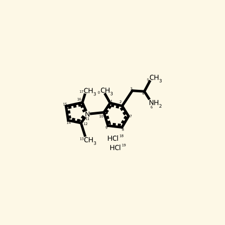 Cc1c(CC(C)N)cccc1-n1c(C)ccc1C.Cl.Cl